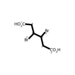 O=C(O)CC(Br)C(Br)CC(=O)O